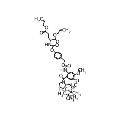 C=CCOC(=O)CCC(NC(=O)Oc1ccc(COC(=O)Nc2cc(OC)c(OC)cc2C(=O)N2CCCC2CO[Si](C)(C)C(C)(C)C)cc1)C(=O)OCC=C